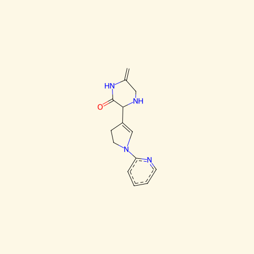 C=C1CNC(C2=CN(c3ccccn3)CC2)C(=O)N1